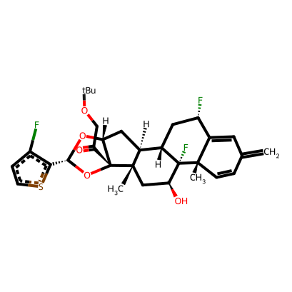 C=C1C=C[C@@]2(C)C(=C1)[C@@H](F)C[C@H]1[C@@H]3C[C@H]4O[C@@H](c5sccc5F)O[C@@]4(C(=O)COC(C)(C)C)[C@@]3(C)C[C@H](O)[C@@]12F